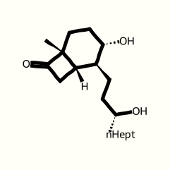 CCCCCCC[C@@H](O)CC[C@@H]1[C@@H](O)CC[C@@]2(C)C(=O)C[C@@H]12